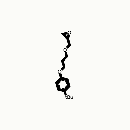 CC(C)(C)c1ccc(OCCCOCC2CO2)cc1